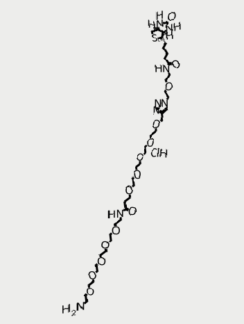 Cl.NCCOCCOCCOCCOCCOCCNC(=O)CCOCCOCCOCCOCCOCc1cn(CCOCCNC(=O)CCCC[C@@H]2SC[C@@H]3NC(=O)N[C@@H]32)nn1